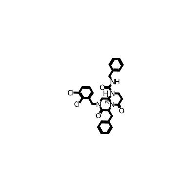 O=C1C(Cc2ccccc2)N2C(=O)CCN(C(=O)NCc3ccccc3)[C@H]2CN1Cc1cccc(Cl)c1Cl